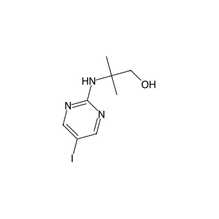 CC(C)(CO)Nc1ncc(I)cn1